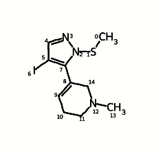 CSn1ncc(I)c1C1=CCCN(C)C1